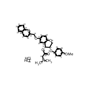 COc1ccc(O[C@H]2COc3ccc(OCc4ccc5ccccc5n4)cc3[C@H]2OC(=O)CN(C)C)cc1.Cl.Cl